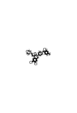 O=C1N(CCN2CCOCC2)c2cc(Cl)c(Cl)cc2CN1C1CCN(Cc2ccc(F)cc2Cl)CC1